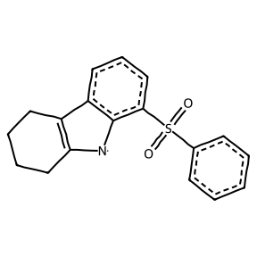 O=S(=O)(c1ccccc1)c1cccc2c1[N]C1=C2CCCC1